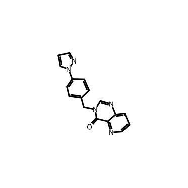 O=c1c2ncccc2ncn1Cc1ccc(-n2cccn2)cc1